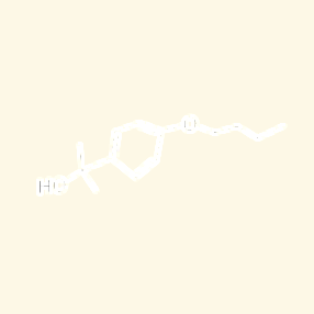 CCCCOc1ccc(C(C)(C)O)cc1